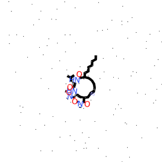 CCCCCCCC1CCCC/C=C/CC(C(=O)N(C)C)C[C@H](C(=O)N(C)OC)NC(=O)[C@H](CC(C)C)NC1=O